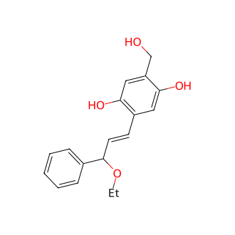 CCOC(C=Cc1cc(O)c(CO)cc1O)c1ccccc1